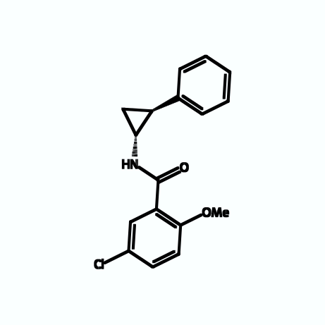 COc1ccc(Cl)cc1C(=O)N[C@@H]1C[C@H]1c1ccccc1